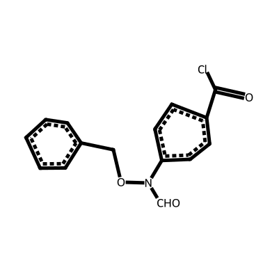 O=CN(OCc1ccccc1)c1ccc(C(=O)Cl)cc1